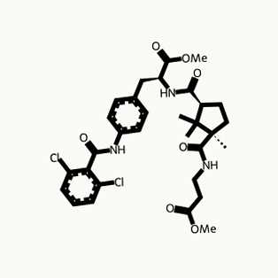 COC(=O)CCNC(=O)[C@]1(C)CC[C@H](C(=O)N[C@@H](Cc2ccc(NC(=O)c3c(Cl)cccc3Cl)cc2)C(=O)OC)C1(C)C